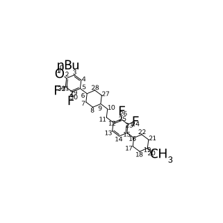 CCCCOc1ccc(C2CCC(CCc3ccc(C4CCC(C)CC4)c(F)c3F)CC2)c(F)c1F